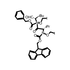 CC[C@H](C)[C@@H]([C]=O)[N+](OCI)(C(=O)OCc1ccccc1)C(=O)[C@H](C(C)C)N(OCI)C(=O)OCC1c2ccccc2-c2ccccc21